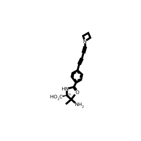 CC(C)(N)[C@H](NC(=O)c1ccc(C#CC#CN2CCC2)cc1)C(=O)O